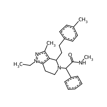 CCn1nc(C)c2c1CCN(C(C(=O)NC)c1ccccc1)C2CCc1ccc(C)cc1